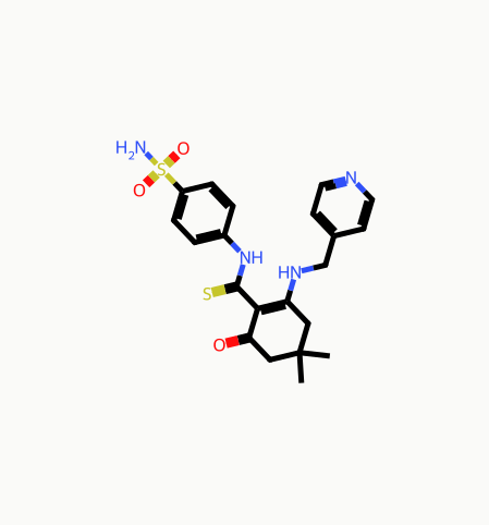 CC1(C)CC(=O)C(C(=S)Nc2ccc(S(N)(=O)=O)cc2)=C(NCc2ccncc2)C1